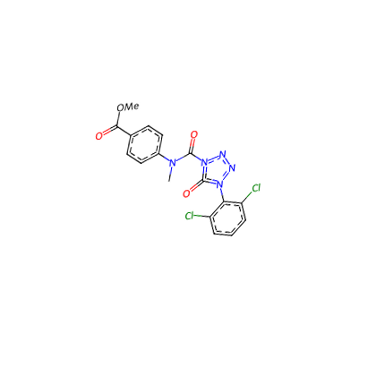 COC(=O)c1ccc(N(C)C(=O)n2nnn(-c3c(Cl)cccc3Cl)c2=O)cc1